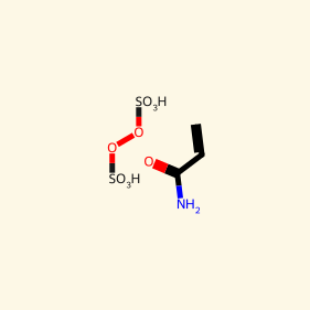 C=CC(N)=O.O=S(=O)(O)OOS(=O)(=O)O